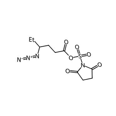 CCC(CCC(=O)OS(=O)(=O)N1C(=O)CCC1=O)N=[N+]=[N-]